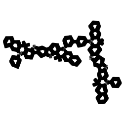 CC1(C)c2cc3ccccc3cc2N(c2ccccc2)c2cc3sc4cc5c(cc4c3cc21)sc1cc2c(cc15)C(C)(C)c1cc3ccccc3cc1N2c1ccc(-c2cccc(N3c4cc5ccccc5cc4C(C)(C)c4c3ccc3c4sc4cc5c(cc43)sc3c4c(ccc35)N(c3ccccc3)c3cc5ccccc5cc3C4(C)C)c2)cc1